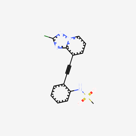 CS(=O)(=O)Nc1ccccc1C#Cc1cccn2nc(Cl)nc12